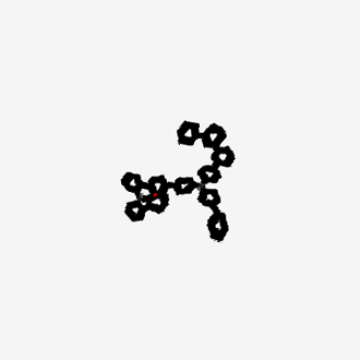 c1ccc(-c2ccc(N(c3ccc(-c4ccc(-c5ccccc5-n5c6ccccc6c6ccccc65)cc4)cc3)c3ccc(-c4cccc(-c5cccc(-c6ccccc6)c5)c4)cc3)cc2)cc1